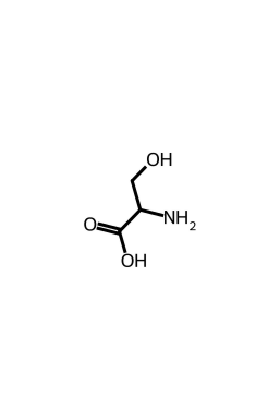 NC(CO)C(=O)O